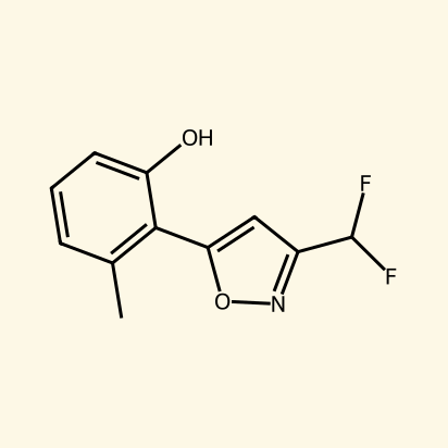 Cc1cccc(O)c1-c1cc(C(F)F)no1